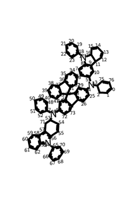 C1=CCC(N(c2ccc3c(c2)C2C=CC=CC2N3c2ccccc2)c2ccc3c(c2)C2(c4ccccc4-c4ccccc42)c2cc(N(c4ccccc4)C4C=Cc5c(c6ccccc6n5-c5ccccc5)C4)ccc2-3)C=C1